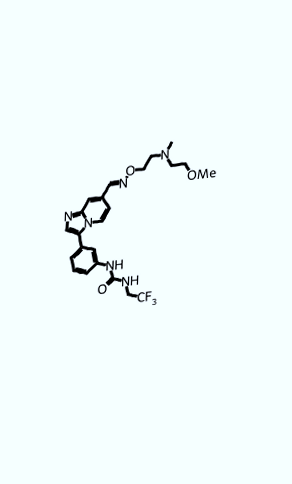 COCCN(C)CCO/N=C/c1ccn2c(-c3cccc(NC(=O)NCC(F)(F)F)c3)cnc2c1